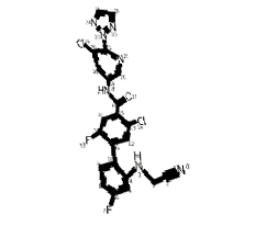 N#CCNc1cc(F)ccc1-c1cc(Cl)c(C(=O)Nc2cnc(-n3nccn3)c(Cl)c2)cc1F